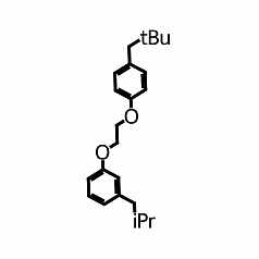 CC(C)Cc1cccc(OCCOc2ccc(CC(C)(C)C)cc2)c1